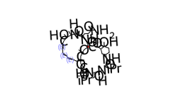 CC(C)CC1NC(=O)COC2C/C=C/C=C/C=C/CC(O)C(C)NC(=O)C(CCC(N)=O)NC(=O)C(C)(CC(=O)C3CC(CCC3O)NC(=O)C(C(C)C)NC1=O)OC(C)C2